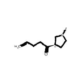 C=CCCC(=O)[C@@H]1CCN(I)C1